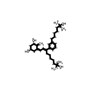 C=C1/C(=C\C=C(/CCCCCC(C)(C)O)c2cccc(CCCCCC(C)(C)O)c2)C[C@@H](O)C[C@@H]1O